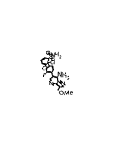 COCc1cnn2c(N)c(-c3ccc(C4(Cl)C(Cl)=CC=CC4S(N)(=O)=O)cc3F)cnc12